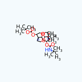 CC(C)(C)NC(=O)OC1/C=C/CCOC(/C2=C\COC(C(C)(C)C)OCC2OC(=O)OC(C)(C)C)C1